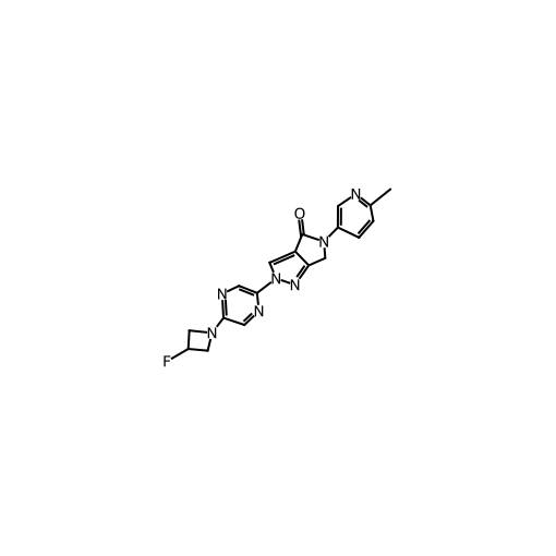 Cc1ccc(N2Cc3nn(-c4cnc(N5CC(F)C5)cn4)cc3C2=O)cn1